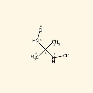 CC(C)(NCl)NCl